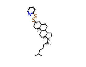 CC(C)CCC[C@@H](C)[C@H]1CCC2C3CC=C4C[C@@H](SSc5ccccn5)CC[C@]4(C)C3CC[C@@]21C